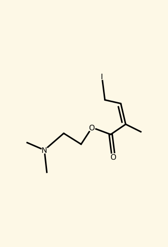 CC(=CCI)C(=O)OCCN(C)C